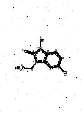 CC(C)n1c(=O)n(CC(=O)O)c2cc(Cl)ccc21